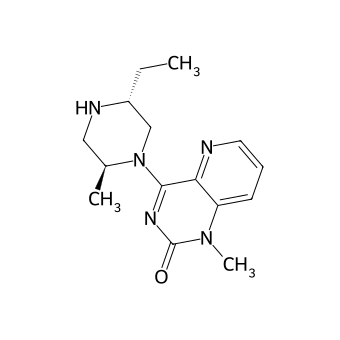 CC[C@@H]1CN(c2nc(=O)n(C)c3cccnc23)[C@@H](C)CN1